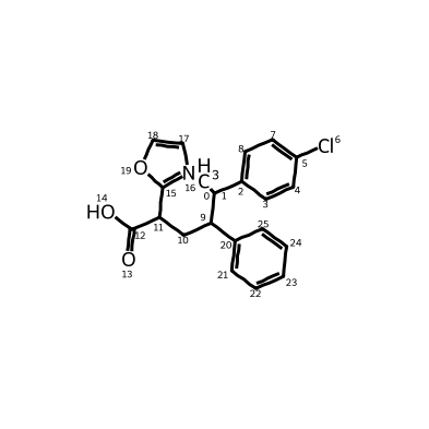 CC(c1ccc(Cl)cc1)C(CC(C(=O)O)c1ncco1)c1ccccc1